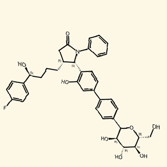 O=C1C[C@@H](CCC[C@H](O)c2ccc(F)cc2)[C@@H](c2ccc(-c3ccc(C4O[C@H](CO)[C@@H](O)[C@H](O)[C@H]4O)cc3)cc2O)N1c1ccccc1